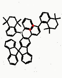 CC1(C)CCC(C)(C)c2c(-c3ccc(-c4cc5c(cc4N(c4ccccc4)c4cccc6c4C(C)(C)CCC6(C)C)C4(c6ccccc6-c6ccccc64)c4ccccc4-5)cc3)cccc21